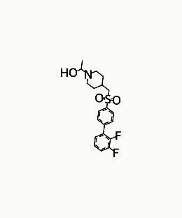 CC(O)N1CCC(CS(=O)(=O)c2ccc(-c3cccc(F)c3F)cc2)CC1